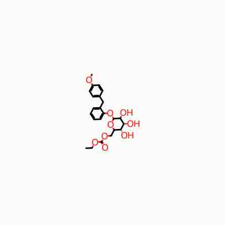 CCOC(=O)OCC1O[C@@H](Oc2ccccc2Cc2ccc(OC)cc2)C(O)[C@@H](O)[C@@H]1O